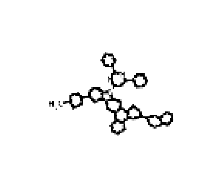 Cc1ccc(-c2ccc3c(c2)c2cc4c5ccccc5c5cc(-c6ccc7ccccc7c6)ccc5c4cc2n3-c2cc(-c3ccccc3)nc(-c3ccccc3)n2)cc1